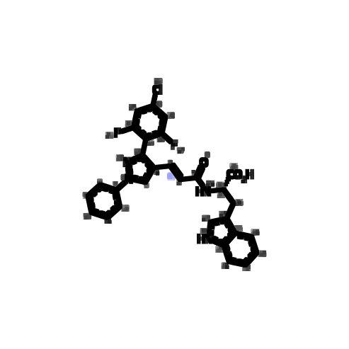 O=C(/C=C/c1cn(-c2ccccc2)nc1-c1c(F)cc(Cl)cc1F)N[C@@H](Cc1c[nH]c2ccccc12)C(=O)O